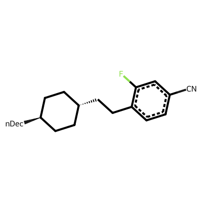 CCCCCCCCCC[C@H]1CC[C@H](CCc2ccc(C#N)cc2F)CC1